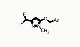 CC(=O)COc1cc(C(F)F)nn1C